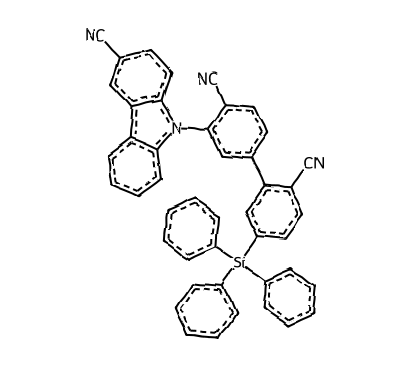 N#Cc1ccc2c(c1)c1ccccc1n2-c1cc(-c2cc([Si](c3ccccc3)(c3ccccc3)c3ccccc3)ccc2C#N)ccc1C#N